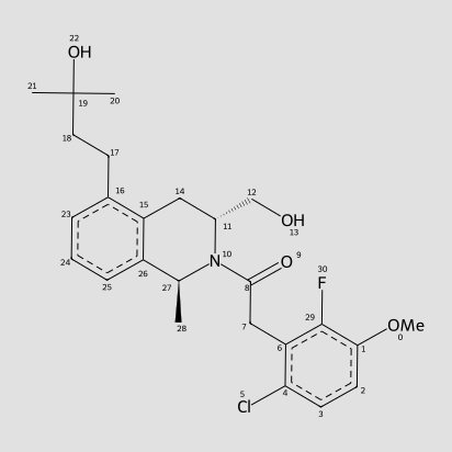 COc1ccc(Cl)c(CC(=O)N2[C@@H](CO)Cc3c(CCC(C)(C)O)cccc3[C@@H]2C)c1F